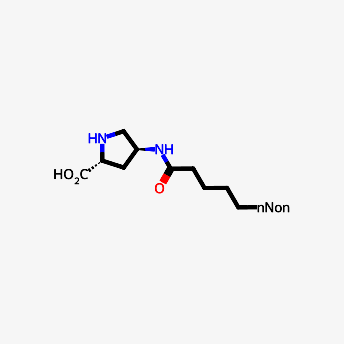 CCCCCCCCCCCCCC(=O)N[C@@H]1CN[C@@H](C(=O)O)C1